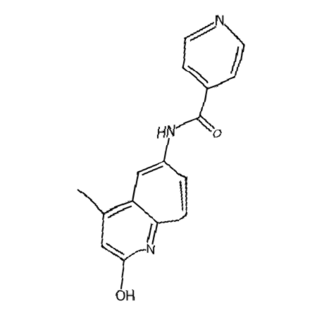 Cc1cc(O)nc2ccc(NC(=O)c3ccncc3)cc12